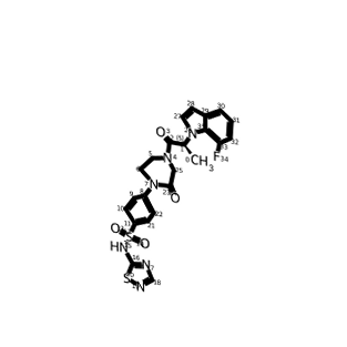 C[C@@H](C(=O)N1CCN(c2ccc(S(=O)(=O)Nc3ncns3)cc2)C(=O)C1)n1ccc2cccc(F)c21